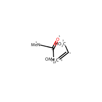 C=CC(=O)O.CNC(=O)OC